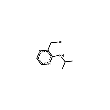 CC(C)Nc1nccnc1CO